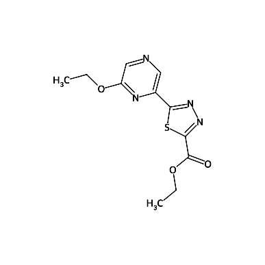 CCOC(=O)c1nnc(-c2cncc(OCC)n2)s1